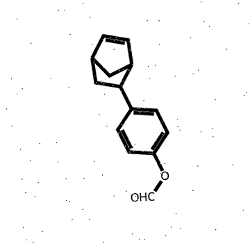 O=COc1ccc(C2CC3C=CC2C3)cc1